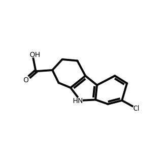 O=C(O)C1CCc2c([nH]c3cc(Cl)ccc23)C1